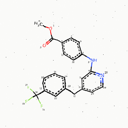 COC(=O)c1ccc(Nc2cc(Cc3cccc(C(F)(F)F)c3)ccn2)cc1